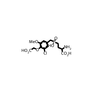 COc1cc(CP(=O)(O)CCC(N)C(=O)O)cc(Cl)c1OCC(=O)O